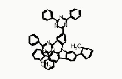 Cc1ccccc1-c1ccc2c3ccc(-c4ccccc4C)cc3n(-c3ccc(-c4nc(-c5ccccc5)nc(-c5ccccc5)n4)cc3-c3nc(-c4ccccc4)nc(-c4ccccc4)n3)c2c1